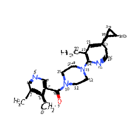 [CH2]c1c(C)cncc1C(=O)N1CCN(c2ncc(C3CC3)cc2C)CC1